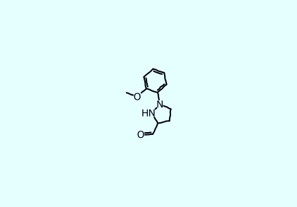 COc1ccccc1N1CCC(C=O)N1